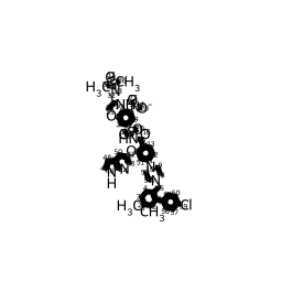 CC1(C)CCC(CN2CCN(c3ccc(C(=O)NS(=O)(=O)c4cc5c(c([N+](=O)[O-])c4)N[C@@H](CN=S(C)(C)=O)CO5)c(Oc4cnc5[nH]ccc5c4)c3)CC2)=C(c2ccc(Cl)cc2)C1